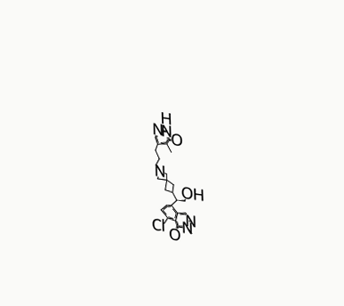 Cc1c(CCCN2CC3(CC([C@@H](CO)c4ccc(Cl)c5c(=O)n(C)ncc45)C3)C2)cn[nH]c1=O